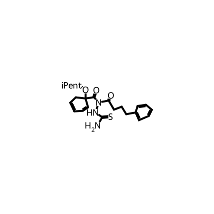 CCCC(C)OC1(C(=O)N(NC(N)=S)C(=O)CCCc2ccccc2)C=CC=CC1